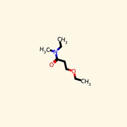 CCOCCC(=O)N(C)CC